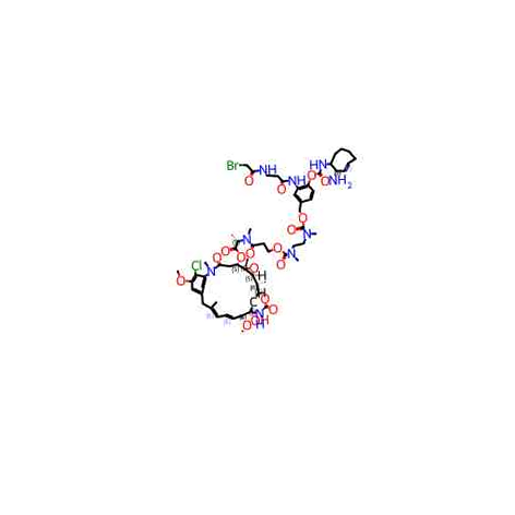 COc1cc2cc(c1Cl)N(C)C(=O)C[C@H](OC(=O)[C@H](C)N(C)C(=O)CCOC(=O)N(C)CCN(C)C(=O)OCc1ccc(OC(=O)NC3CCCC/C=C/[C@@H]3N)c(NC(=O)CCNC(=O)CBr)c1)[C@]1(C)O[C@H]1[C@H](C)[C@@H]1C[C@@](O)(NC(=O)O1)[C@H](OC)/C=C/C=C(\C)C2